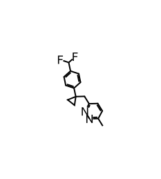 Cc1ccc(CC2(c3ccc(C(F)F)cc3)CC2)nn1